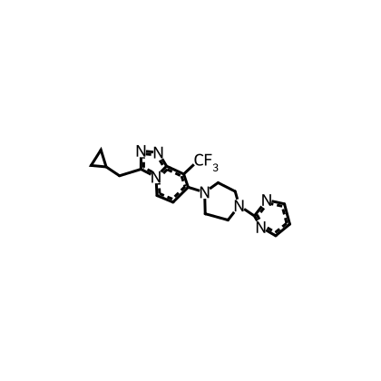 FC(F)(F)c1c(N2CCN(c3ncccn3)CC2)ccn2c(CC3CC3)nnc12